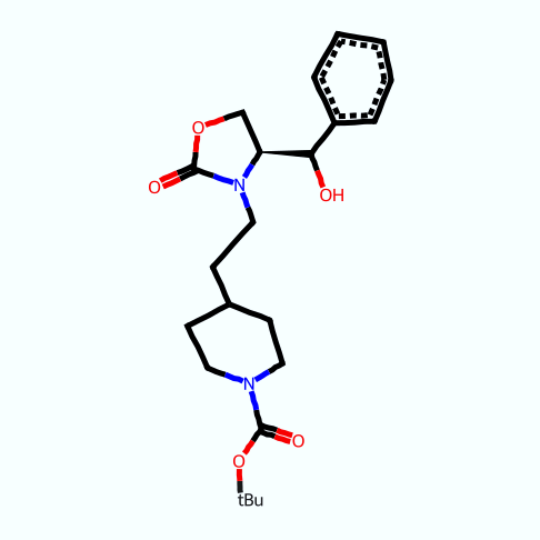 CC(C)(C)OC(=O)N1CCC(CCN2C(=O)OC[C@H]2C(O)c2ccccc2)CC1